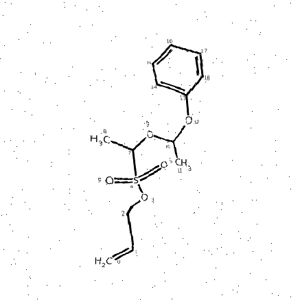 C=CCOS(=O)(=O)C(C)OC(C)Oc1ccccc1